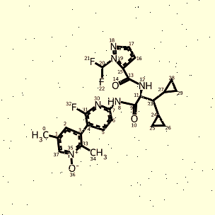 Cc1cc(-c2ccc(NC(=O)[C@@H](NC(=O)c3ccnn3C(F)F)C(C3CC3)C3CC3)nc2F)c(C)[n+]([O-])c1